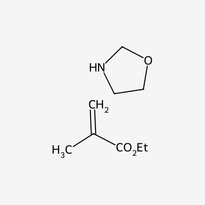 C1COCN1.C=C(C)C(=O)OCC